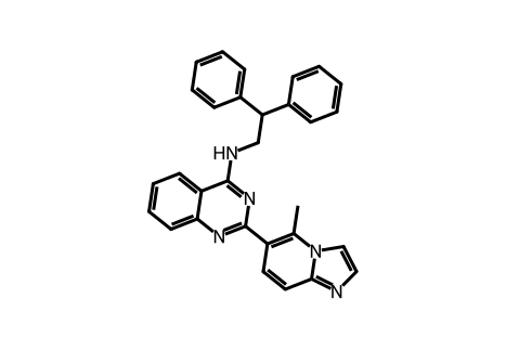 Cc1c(-c2nc(NCC(c3ccccc3)c3ccccc3)c3ccccc3n2)ccc2nccn12